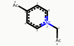 CC(=O)C[n+]1ccc(C(C)=O)cc1